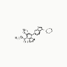 COC(=O)c1c(OC)cc(-c2ccc3c(c2)ncn3C2CCCCC2)c2nc[nH]c12